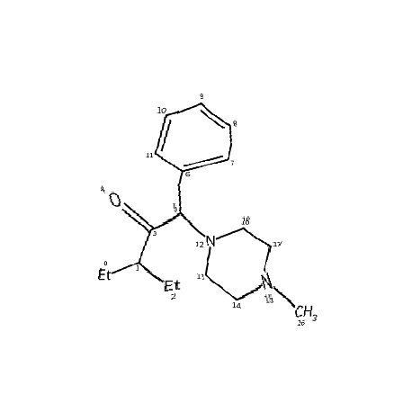 CCC(CC)C(=O)C(c1ccccc1)N1CCN(C)CC1